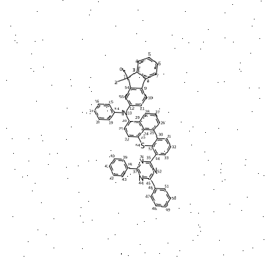 CC1(C)c2ccccc2-c2ccc(N(c3ccccc3)c3ccc4c5c(cccc35)-c3cccc(-c5nc(-c6ccccc6)nc(-c6ccccc6)n5)c3S4)cc21